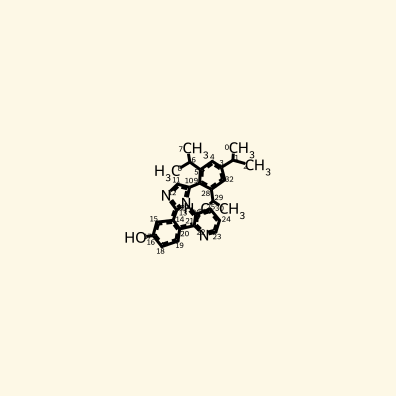 CC(C)c1cc(C(C)C)c(-c2cnc3c4cc(O)ccc4c4ncccc4n23)c(C(C)C)c1